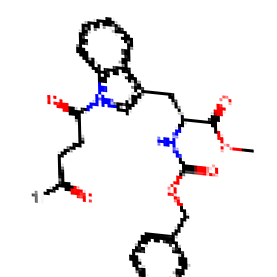 [2H]C(=O)CCC(=O)n1cc(C[C@H](NC(=O)OCc2ccccc2)C(=O)OC)c2ccccc21